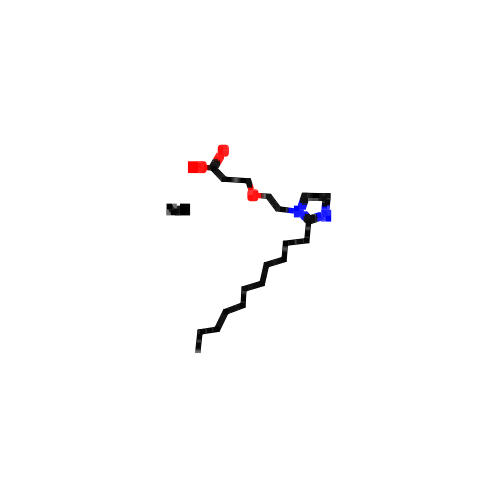 CCCCCCCCCCCc1nccn1CCOCCC(=O)O.[NaH]